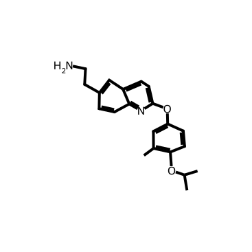 Cc1cc(Oc2ccc3cc(CCN)ccc3n2)ccc1OC(C)C